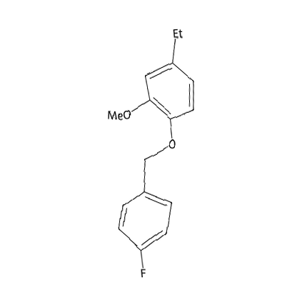 CCc1ccc(OCc2ccc(F)cc2)c(OC)c1